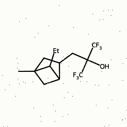 CCC1C2CC1(C)CC2CC(O)(C(F)(F)F)C(F)(F)F